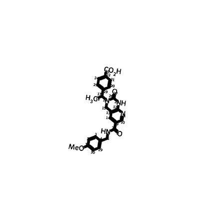 COc1ccc(CNC(=O)c2cnc3c(c2)CN(C(C)c2ccc(C(=O)O)cc2)C(=O)N3)cc1